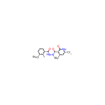 COc1cccc(C(=O)NN(C(=O)c2c(C)cc(C(F)(F)F)[nH]c2=O)C(C)(C)C)c1C